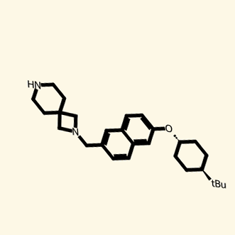 CC(C)(C)[C@H]1CC[C@H](Oc2ccc3cc(CN4CC5(CCNCC5)C4)ccc3c2)CC1